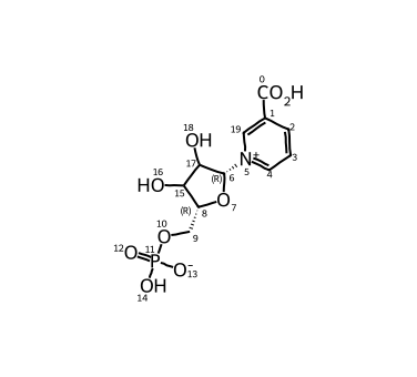 O=C(O)c1ccc[n+]([C@@H]2O[C@H](COP(=O)([O-])O)C(O)C2O)c1